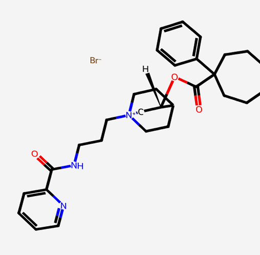 O=C(NCCC[N+]12CCC(CC1)[C@@H](OC(=O)C1(c3ccccc3)CCCCCC1)C2)c1ccccn1.[Br-]